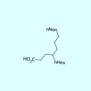 CCCCCCCCCCCCC(CCCCCC)CCC(=O)O